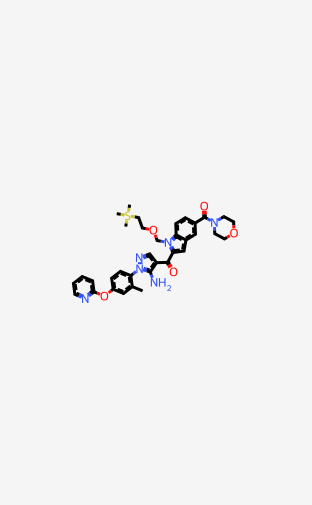 Cc1cc(Oc2ccccn2)ccc1-n1ncc(C(=O)c2cc3cc(C(=O)N4CCOCC4)ccc3n2COCCS(C)(C)C)c1N